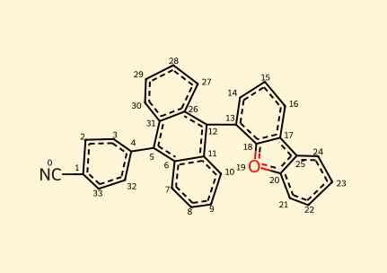 N#Cc1ccc(-c2c3ccccc3c(-c3cccc4c3oc3ccccc34)c3ccccc23)cc1